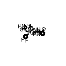 COc1cccc2[nH]c(C(=O)N[C@@H](CC(C)C)C(=O)N[C@H](Cc3ccc(F)c(F)c3)C[C@@H]3CCNC3=O)cc12